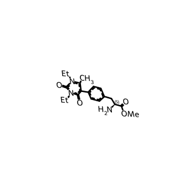 CCn1c(C)c(-c2ccc(C[C@H](N)C(=O)OC)cc2)c(=O)n(CC)c1=O